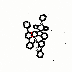 c1ccc(-c2ccc(-c3ccccc3N(c3cccc4c3-c3ccccc3C43c4ccccc4N(c4ccccc4)c4ccccc43)c3cccc4c3sc3ccccc34)cc2)cc1